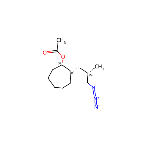 CC(=O)O[C@H]1CCCCC[C@H]1C[C@H](C)CN=[N+]=[N-]